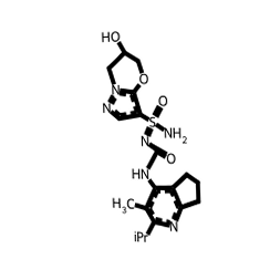 Cc1c(C(C)C)nc2c(c1NC(=O)N=S(N)(=O)c1cnn3c1OCC(O)C3)CCC2